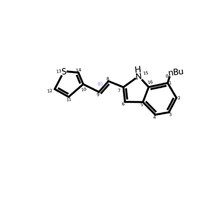 CCCCc1cccc2cc(/C=C/c3ccsc3)[nH]c12